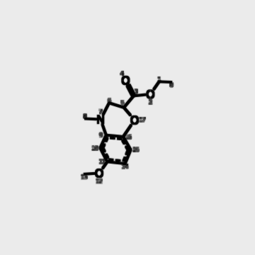 CCOC(=O)C1CN(C)c2cc(OC)ccc2O1